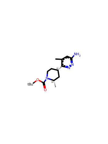 Cc1cc(N)nnc1[C@H]1CCN(C(=O)OC(C)(C)C)[C@@H](C)C1